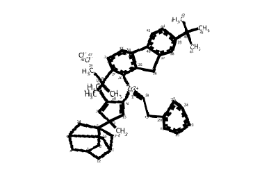 CC1=CC(C)(C23CC4CC(CC(C4)C2)C3)C=[C]1[Zr+2](=[CH]Cc1ccccc1)[c]1c(C(C)(C)C)ccc2c1Cc1cc(C(C)(C)C)ccc1-2.[Cl-].[Cl-]